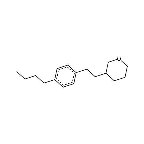 CCCCc1ccc(CCC2CCCOC2)cc1